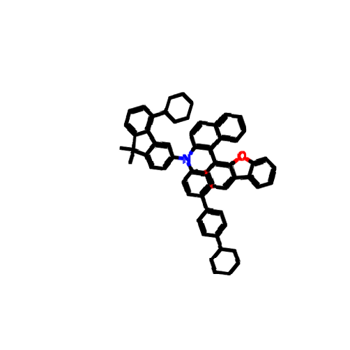 CC1(C)c2ccc(N(c3ccc(-c4ccc(C5CCCCC5)cc4)cc3)c3ccc4ccccc4c3-c3cccc4c3oc3ccccc34)cc2-c2c(C3CCCCC3)cccc21